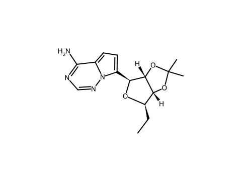 CC[C@H]1O[C@@H](c2ccc3c(N)ncnn23)[C@@H]2OC(C)(C)O[C@@H]21